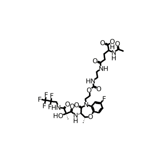 CC(=O)NC(CCC(=O)NCCNC(=O)OCCN1C(=O)[C@@H](NC(=O)[C@@](C)(O)C(=O)NCC(F)(F)C(F)(F)F)[C@@H](C)Oc2ccc(F)cc21)C(=O)O